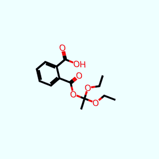 CCOC(C)(OCC)OC(=O)c1ccccc1C(=O)O